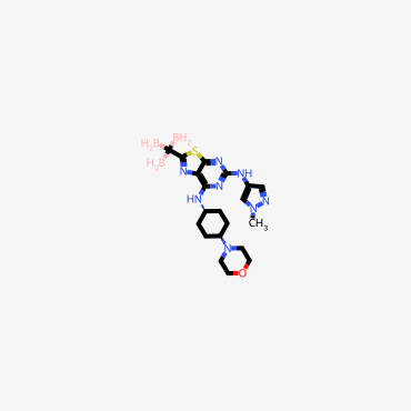 BC(B)(B)c1nc2c(N[C@H]3CC[C@H](N4CCOCC4)CC3)nc(Nc3cnn(C)c3)nc2s1